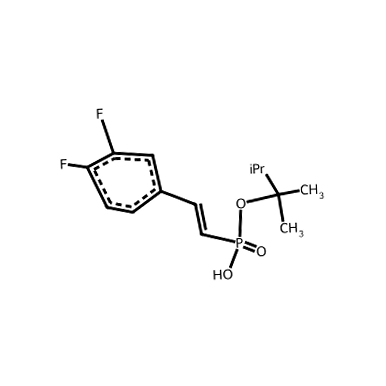 CC(C)C(C)(C)OP(=O)(O)C=Cc1ccc(F)c(F)c1